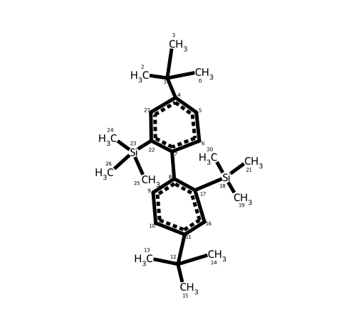 CC(C)(C)c1ccc(-c2ccc(C(C)(C)C)cc2[Si](C)(C)C)c([Si](C)(C)C)c1